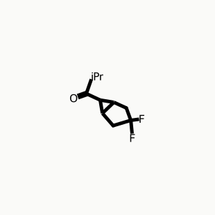 CC(C)C(=O)C1C2CC(F)(F)CC21